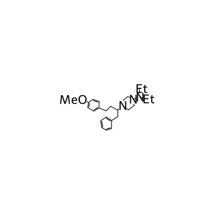 CCN(CC)N1CCN(C(CCc2ccc(OC)cc2)Cc2ccccc2)CC1